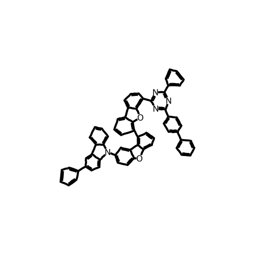 c1ccc(-c2ccc(-c3nc(-c4ccccc4)nc(-c4cccc5c4oc4c(-c6cccc7oc8ccc(-n9c%10ccccc%10c%10cc(-c%11ccccc%11)ccc%109)cc8c67)cccc45)n3)cc2)cc1